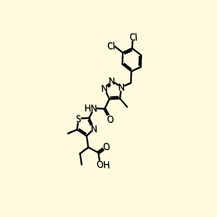 CCC(C(=O)O)c1nc(NC(=O)c2nnn(Cc3ccc(Cl)c(Cl)c3)c2C)sc1C